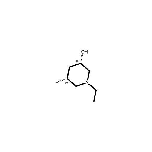 CCN1C[C@H](C)C[C@H](O)C1